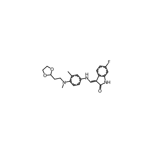 Cc1cc(N/C=C2/C(=O)Nc3cc(F)ccc32)ccc1N(C)CCC1OCCO1